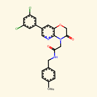 COc1ccc(CNC(=O)CN2C(=O)COc3cc(-c4cc(Cl)cc(Cl)c4)cnc32)cc1